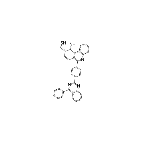 N=C1/C(=N\S)C=Cc2c(-c3ccc(-c4nc(-c5ccccc5)c5ccccc5n4)cc3)nc3ccccc3c21